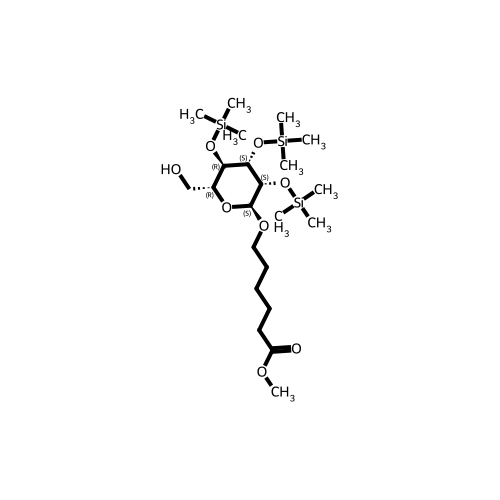 COC(=O)CCCCCO[C@H]1O[C@H](CO)[C@@H](O[Si](C)(C)C)[C@H](O[Si](C)(C)C)[C@@H]1O[Si](C)(C)C